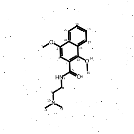 COc1cc(C(=O)NCCN(C)C)c(OC)c2ccccc12